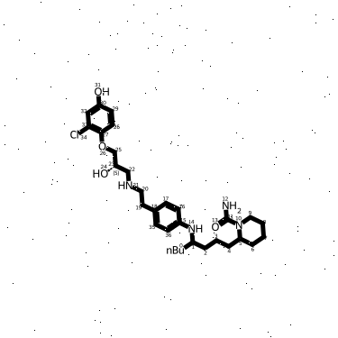 CCCCC(CCCC1CCCCN1C(N)=O)Nc1ccc(CCNC[C@H](O)COc2ccc(O)cc2Cl)cc1